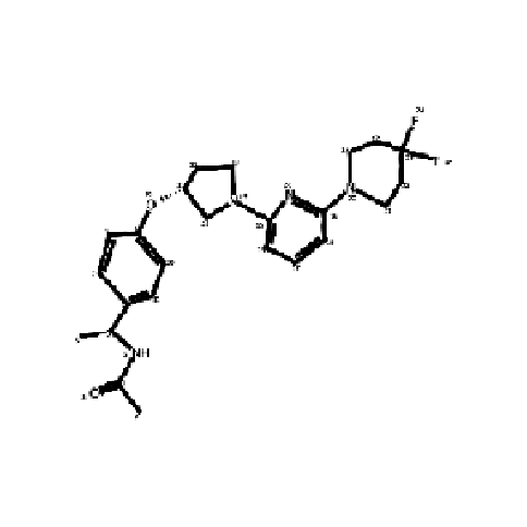 CC(=O)N[C@@H](C)c1ccc(O[C@@H]2CCN(c3cccc(N4CCC(F)(F)CC4)n3)C2)cc1